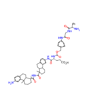 CC(C)C(N)C(=O)NCC(=O)Nc1ccc(COC(=O)NC(CCC(=O)O)C(=O)Nc2ccc3c(c2)C2CCCC(C)(C(=O)NC(=O)[C@@]4(C)CCCC5(C)c6cc(N)ccc6CCC54)C2CC3)cc1